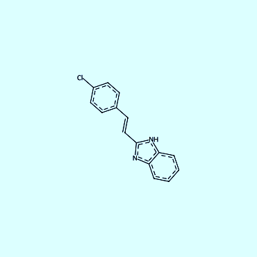 Clc1ccc(/C=C/c2nc3ccccc3[nH]2)cc1